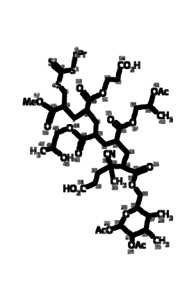 CCCSC(=S)SCC(CC(CC(CC(CC(C(=O)OCC1OC(OC(C)=O)C(OC(C)=O)C(C)C1C)C(C)(C#N)CCC(=O)O)C(=O)OCC(C)OC(C)=O)C(=O)OCC(C)O)C(=O)OCCC(=O)O)C(=O)OC